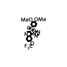 COc1ccc(S(=O)(=O)c2cnc3ccc(OC(F)(F)F)cc3c2-n2cncn2)cc1OC